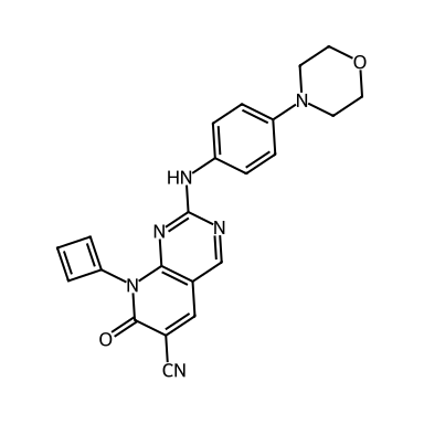 N#Cc1cc2cnc(Nc3ccc(N4CCOCC4)cc3)nc2n(C2=CC=C2)c1=O